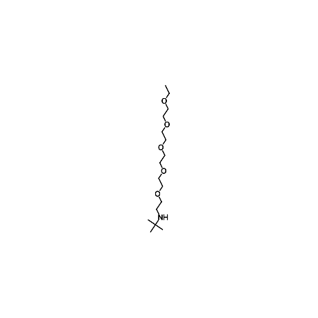 CCOCCOCCOCCOCCOCCNC(C)(C)C